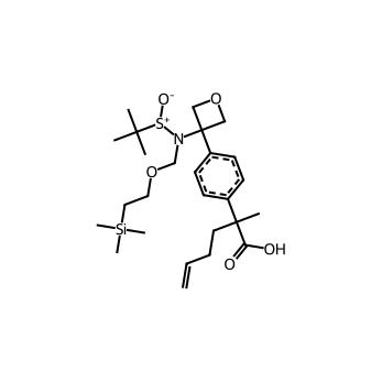 C=CCCC(C)(C(=O)O)c1ccc(C2(N(COCC[Si](C)(C)C)[S+]([O-])C(C)(C)C)COC2)cc1